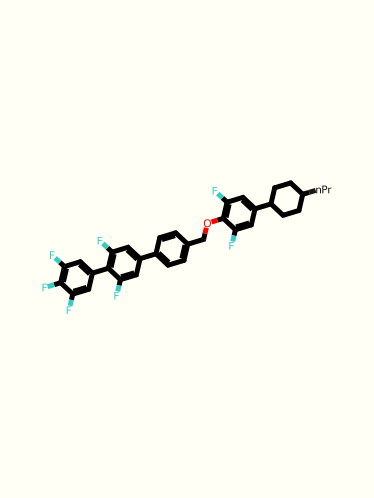 CCCC1CCC(c2cc(F)c(OCc3ccc(-c4cc(F)c(-c5cc(F)c(F)c(F)c5)c(F)c4)cc3)c(F)c2)CC1